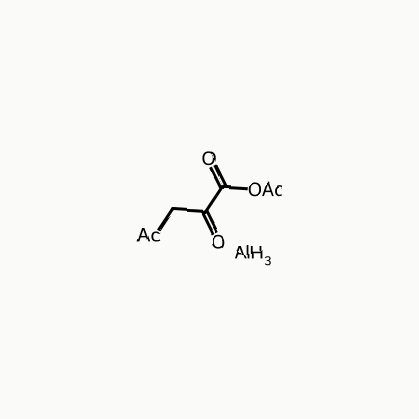 CC(=O)CC(=O)C(=O)OC(C)=O.[AlH3]